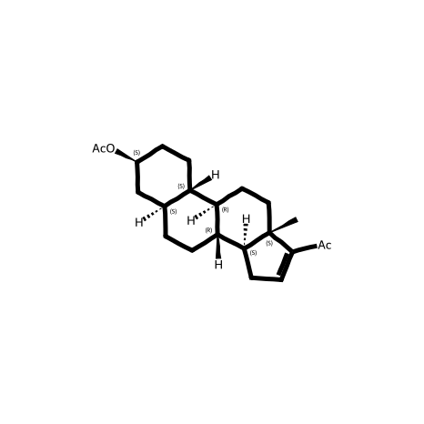 CC(=O)O[C@H]1CC[C@H]2[C@@H](CC[C@@H]3[C@@H]2CC[C@]2(C)C(C(C)=O)=CC[C@@H]32)C1